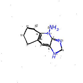 NN1C2=NCNC2=CC2=C1CCCC2